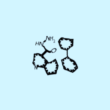 NNC(=O)c1ccnc2ccccc12.c1ccc(-c2ccccc2)cc1